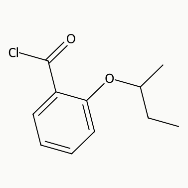 CCC(C)Oc1ccccc1C(=O)Cl